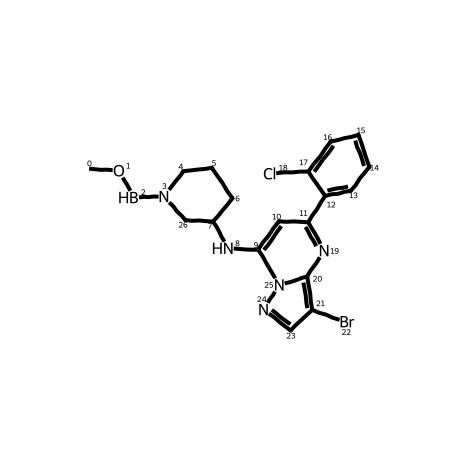 COBN1CCCC(Nc2cc(-c3ccccc3Cl)nc3c(Br)cnn23)C1